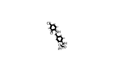 CC(C)S(=O)(=O)Nc1ccc(CNc2ccc(Cl)cc2Cl)cc1